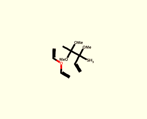 C=CC([SiH3])(OC)C(C)(OC)OC.C=COC=C